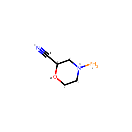 N#CC1CN(P)CCO1